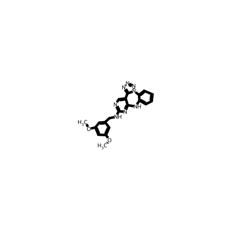 COc1cc(CNc2ncc3c(n2)Nc2ccccc2-n2nnnc2-3)cc(OC)c1